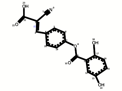 N#C/C(=C\c1ccc(OC(=O)c2cc(O)ccc2O)cc1)C(=O)O